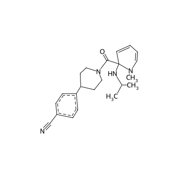 CC(C)NC1(C(=O)N2CCC(c3ccc(C#N)cc3)CC2)C=CC=CN1C